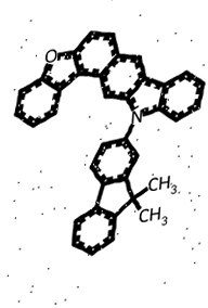 CC1(C)c2ccccc2-c2ccc(-n3c4ccccc4c4cc5ccc6oc7ccccc7c6c5cc43)cc21